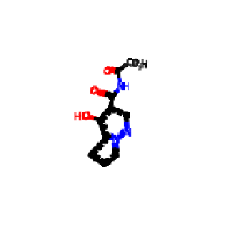 O=C(O)C(=O)NC(=O)c1cnn2cccc2c1O